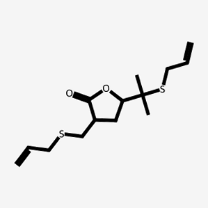 C=CCSCC1CC(C(C)(C)SCC=C)OC1=O